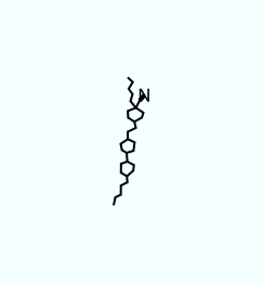 CCCCCC1CCC(C2CCC(CCC3CCC(C#N)(CCCCC)CC3)CC2)CC1